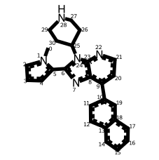 Cn1cccc1-c1nc2c(-c3ccc4ccccc4c3)ccnc2n1C1CCNCC1